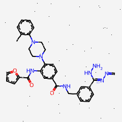 C=N/N=C(\NN)c1cccc(CNC(=O)c2ccc(N3CCN(c4ccccc4C)CC3)c(NC(=O)c3ccco3)c2)c1